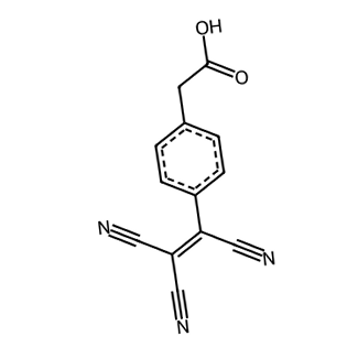 N#CC(C#N)=C(C#N)c1ccc(CC(=O)O)cc1